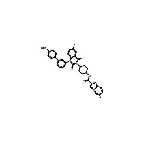 O=Cc1ccc(-c2cccc(-n3c(=O)n(C4CCC(NC(=O)c5cn6cc(F)ccc6n5)CC4)c(=O)c4cc(F)cnc43)c2)cc1